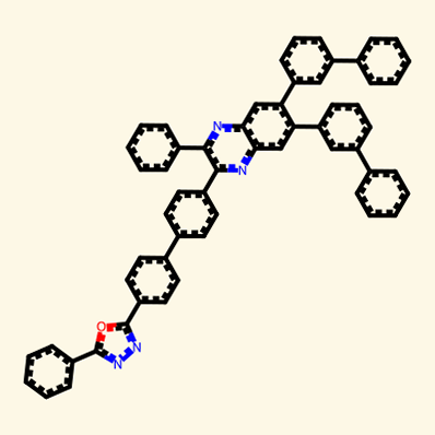 c1ccc(-c2cccc(-c3cc4nc(-c5ccccc5)c(-c5ccc(-c6ccc(-c7nnc(-c8ccccc8)o7)cc6)cc5)nc4cc3-c3cccc(-c4ccccc4)c3)c2)cc1